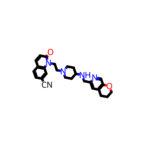 N#Cc1ccc2ccc(=O)n(CCN3CCC(NCc4cc5c(cn4)OCCC5)CC3)c2c1